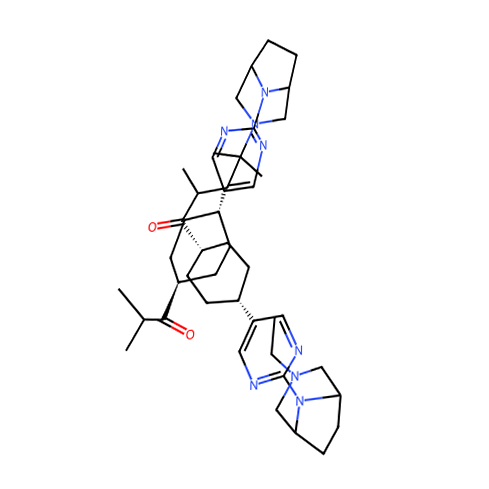 CCN1CC2CCC(C1)N2c1ncc([C@H]2CC[C@@H](C(=O)C(C)CC(C)(C)N3CC4CCC(C3)N4c3ncc([C@H]4CC[C@H](C(=O)C(C)C)CC4)cn3)CC2)cn1